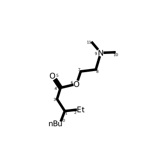 CCCCC(CC)CC(=O)OCCN(C)C